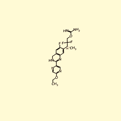 CCOc1cnc(C2=Nc3cc([C@@H](C)C(F)(F)COC(=N)N)c(F)cc3CN2)cn1